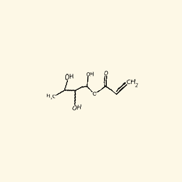 C=CC(=O)OC(O)C(O)C(C)O